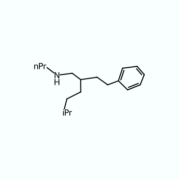 [CH2]CCNCC(CCc1ccccc1)CCC(C)C